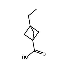 CCC12CC(C(=O)O)(C1)C2